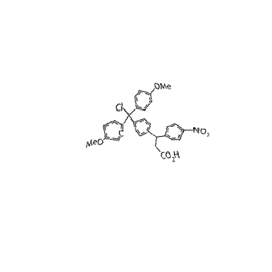 COc1ccc(C(Cl)(c2ccc(OC)cc2)c2ccc(C(CC(=O)O)c3ccc([N+](=O)[O-])cc3)cc2)cc1